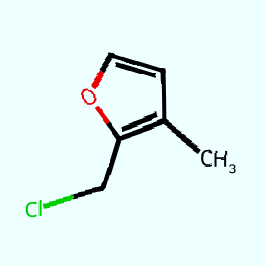 Cc1ccoc1CCl